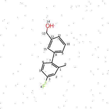 Cc1cc(F)ccc1-c1cccc(CO)c1